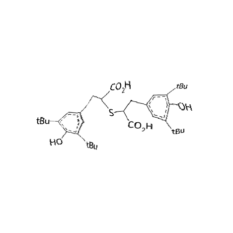 CC(C)(C)c1cc(CC(SC(Cc2cc(C(C)(C)C)c(O)c(C(C)(C)C)c2)C(=O)O)C(=O)O)cc(C(C)(C)C)c1O